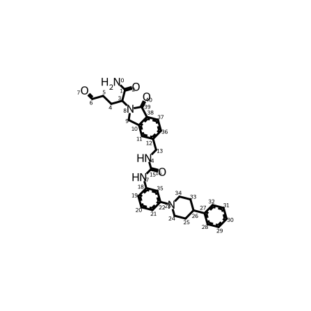 NC(=O)C(CCC=O)N1Cc2cc(CNC(=O)Nc3cccc(N4CCC(c5ccccc5)CC4)c3)ccc2C1=O